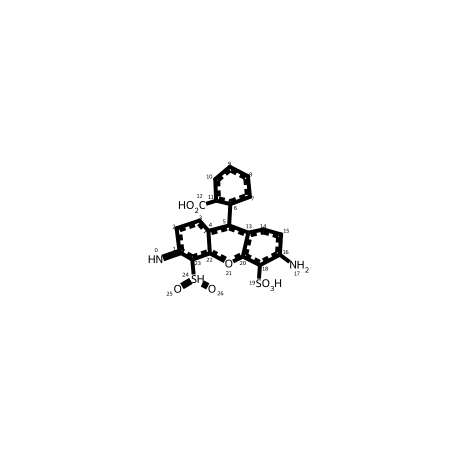 N=c1ccc2c(-c3ccccc3C(=O)O)c3ccc(N)c(S(=O)(=O)O)c3oc-2c1[SH](=O)=O